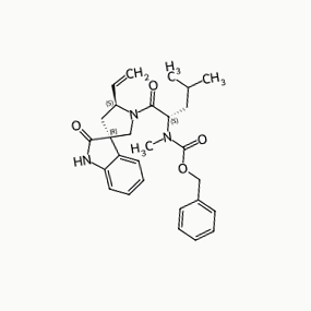 C=C[C@@H]1C[C@@]2(CN1C(=O)[C@H](CC(C)C)N(C)C(=O)OCc1ccccc1)C(=O)Nc1ccccc12